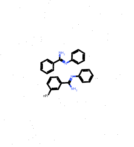 CCCc1cccc(C(N)=Nc2ccccc2)c1.NC(=Nc1ccccc1)c1ccccc1